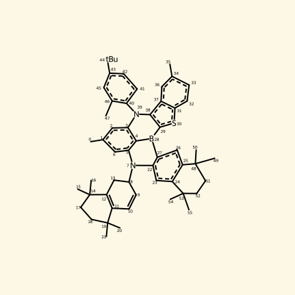 Cc1cc2c3c(c1)N(C1C=CC4=C(C1)C(C)(C)CCC4(C)C)c1cc4c(cc1B3c1sc3ccc(C)cc3c1N2c1ccc(C(C)(C)C)cc1C)C(C)(C)CCC4(C)C